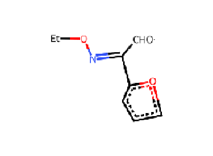 CCON=C([C]=O)c1ccco1